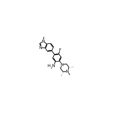 C[C@@H]1CN(c2cc(F)c(-c3ccc4c(c3)ncn4C)cc2N)C[C@H](C)N1C